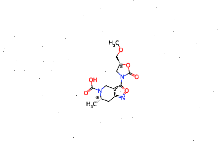 COC[C@@H]1CN(c2onc3c2CN(C(=O)O)[C@@H](C)C3)C(=O)O1